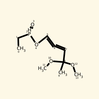 CC[PH](=O)OC=C=CC(C)(OC)OC